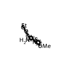 CCOCCOCCOc1ccc(-c2nc3cc(OC)ccc3s2)cc1N